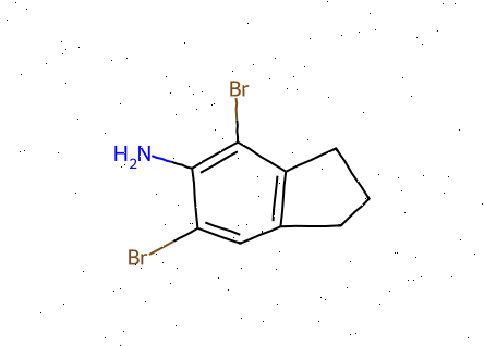 Nc1c(Br)cc2c(c1Br)CCC2